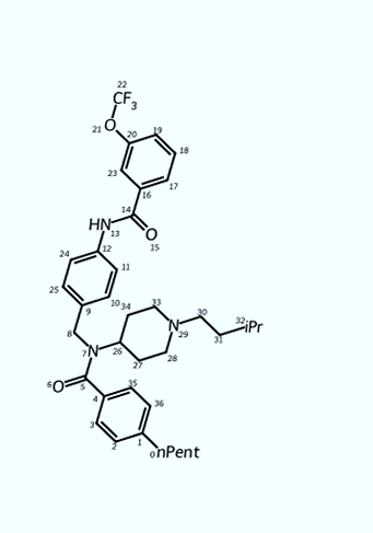 CCCCCc1ccc(C(=O)N(Cc2ccc(NC(=O)c3cccc(OC(F)(F)F)c3)cc2)C2CCN(CCC(C)C)CC2)cc1